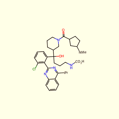 CNC1CCC(C(=O)N2CCCC(C(O)(CCCNC(=O)O)c3cccc(Cl)c3-c3nc(C(C)C)c4ccccc4n3)C2)C1